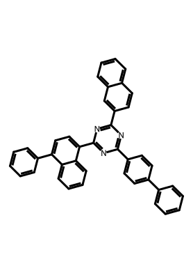 c1ccc(-c2ccc(-c3nc(-c4ccc5ccccc5c4)nc(-c4ccc(-c5ccccc5)c5ccccc45)n3)cc2)cc1